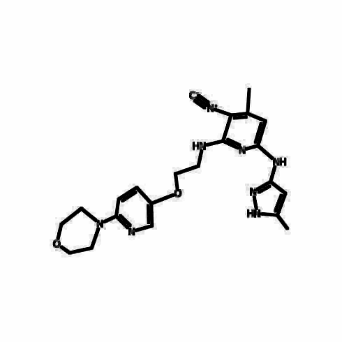 [C-]#[N+]c1c(C)cc(Nc2cc(C)[nH]n2)nc1NCCOc1ccc(N2CCOCC2)nc1